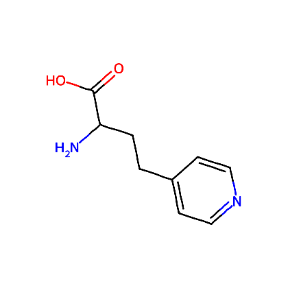 NC(CCc1ccncc1)C(=O)O